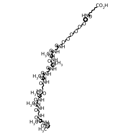 Cn1cc(NC(=O)c2nc(NC(=O)CCNC(=O)c3cc(NC(=O)c4nccn4C)cn3C)cn2C)cc1C(=O)NCCCC(=O)Nc1cn(C)c(C(=O)NCCC(=O)Nc2cc(C(=O)Nc3cn(C)c(C(=O)NCCC(=O)NCCOCCOCCOCCOCCOCCOc4ccc(NC(=O)CCCCCCC(=O)O)cc4)n3)n(C)c2)n1